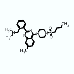 CCCCS(=O)(=O)N1CCN(c2nc(-c3ccccc3CN(C)C)nc3cc(C)ccc23)CC1